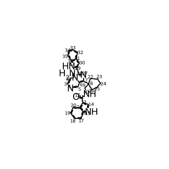 N[N+]12C=CN=CC1=C(C1(CNC(=O)c3c[nH]c4ccccc34)CCCCC1)N=C2c1cc2ccccc2[nH]1